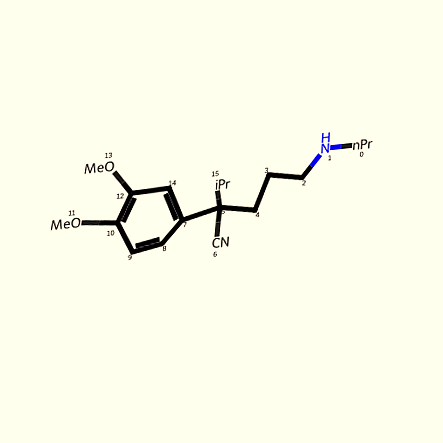 CCCNCCCC(C#N)(c1ccc(OC)c(OC)c1)C(C)C